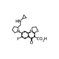 O=C(O)c1c2n(c3cc(N4CCCC4CNC4CC4)c(F)cc3c1=O)CCS2